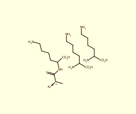 CC(=O)[C@H](C)C(=S)NC(CCCCN)C(=O)O.NCCCCC(N)C(=O)O.NCCCCC(N)C(=O)O